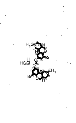 CN1CC[C@H]2COc3c(Br)cc(OCOc4cc(Br)c5c(c4)[C@H]4CN(C)CC[C@H]4CO5)cc3[C@H]2C1.Cl.Cl